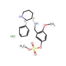 COc1ccc(OS(=O)(=O)OC)cc1CN[C@H]1CCCN[C@H]1c1ccccc1.Cl